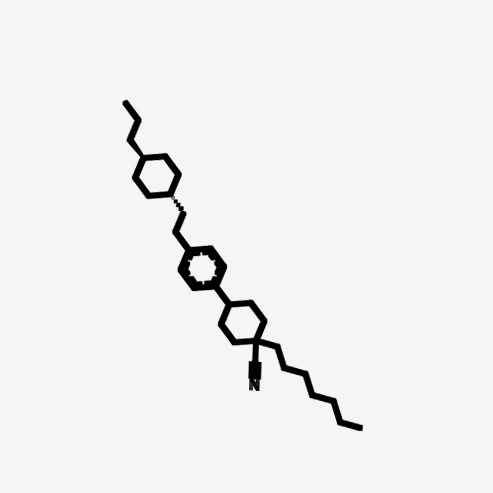 CCCCCCCC1(C#N)CCC(c2ccc(CC[C@H]3CC[C@H](CCC)CC3)cc2)CC1